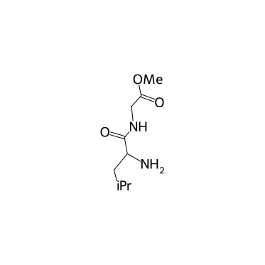 COC(=O)CNC(=O)C(N)CC(C)C